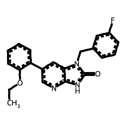 CCOc1ccccc1-c1cnc2[nH]c(=O)n(Cc3cccc(F)c3)c2c1